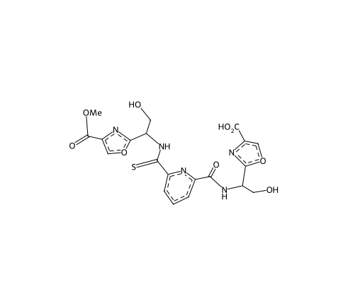 COC(=O)c1coc(C(CO)NC(=S)c2cccc(C(=O)NC(CO)c3nc(C(=O)O)co3)n2)n1